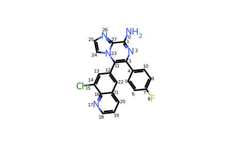 Nc1nc(-c2ccc(F)cc2)c(-c2cc(Cl)c3ncccc3c2)n2ccnc12